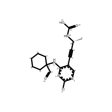 C[C@H](C#Cc1cnc(Cl)nc1NC1(C=O)CCCCC1)NC(=O)O